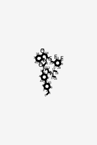 CCc1ccc(-c2ccc(CN(CCN(CC)CC)C(=O)Cn3c(SCc4cccc(F)c4F)cc(=O)c4ccccc43)cc2)cc1